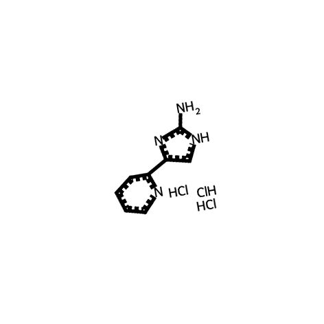 Cl.Cl.Cl.Nc1nc(-c2ccccn2)c[nH]1